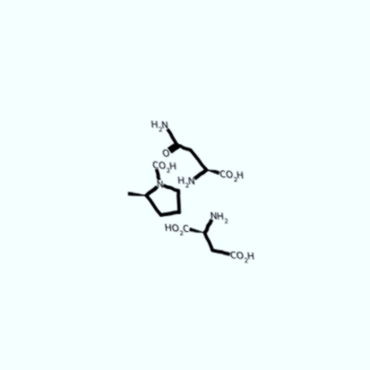 C[C@@H]1CCCN1C(=O)O.NC(=O)C[C@H](N)C(=O)O.N[C@@H](CC(=O)O)C(=O)O